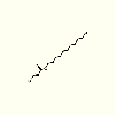 C/C=C/C(=O)OCCCCCCCCCCO